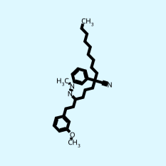 CCCCCCCCCC(C#N)(CCCC(CCc1cccc(OC)c1)/N=N/C)c1ccccc1